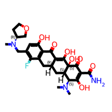 CN(C)[C@@H]1C(O)=C(C(N)=O)C(=O)[C@@]2(O)C(O)=C3C(=O)c4c(O)cc(CN(C)[C@@H]5CCOC5)c(F)c4C[C@H]3C[C@@H]12